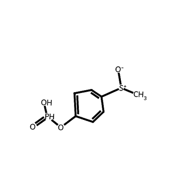 C[S+]([O-])c1ccc(O[PH](=O)O)cc1